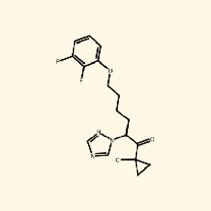 O=C(C(CCCCOc1cccc(F)c1F)n1cncn1)C1(Cl)CC1